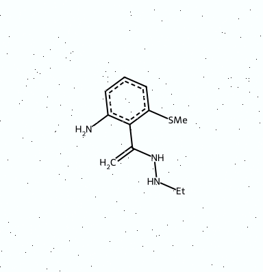 C=C(NNCC)c1c(N)cccc1SC